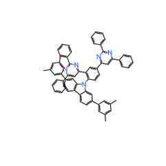 Cc1cc(C)cc(-c2ccc3c4ccc(-c5cc(C)cc(C)c5)cc4n(-c4ccc(-c5cc(-c6ccccc6)nc(-c6ccccc6)n5)cc4-c4cc(-c5ccccc5)nc(-c5ccccc5)n4)c3c2)c1